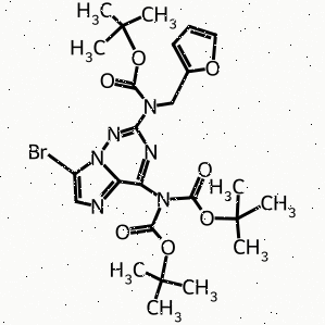 CC(C)(C)OC(=O)N(Cc1ccco1)c1nc(N(C(=O)OC(C)(C)C)C(=O)OC(C)(C)C)c2ncc(Br)n2n1